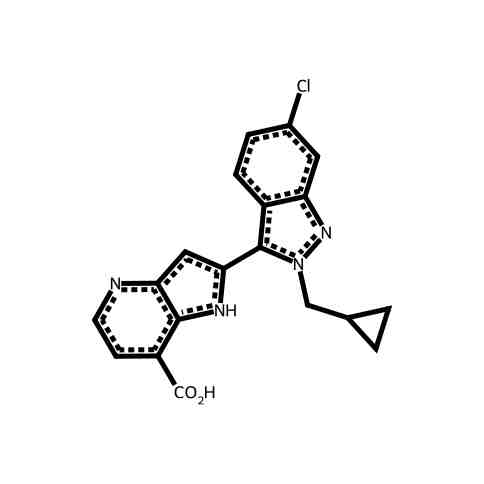 O=C(O)c1ccnc2cc(-c3c4ccc(Cl)cc4nn3CC3CC3)[nH]c12